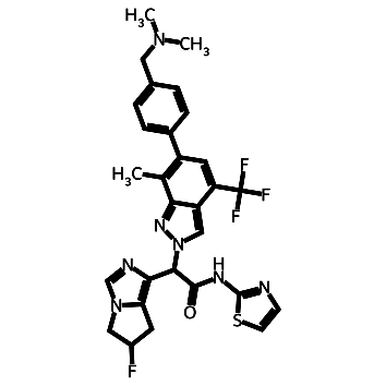 Cc1c(-c2ccc(CN(C)C)cc2)cc(C(F)(F)F)c2cn(C(C(=O)Nc3nccs3)c3ncn4c3CC(F)C4)nc12